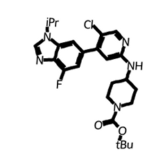 CC(C)n1cnc2c(F)cc(-c3cc(NC4CCN(C(=O)OC(C)(C)C)CC4)ncc3Cl)cc21